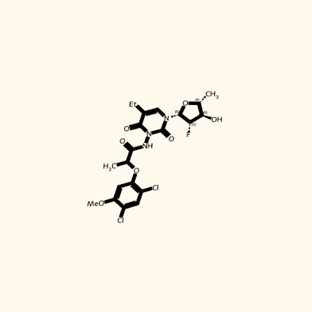 CCc1cn([C@@H]2O[C@H](C)[C@@H](O)[C@@H]2F)c(=O)n(NC(=O)C(C)Oc2cc(OC)c(Cl)cc2Cl)c1=O